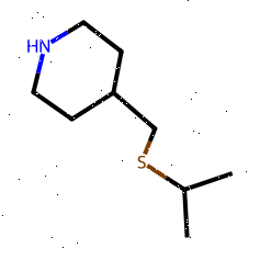 CC(C)SCC1CCNCC1